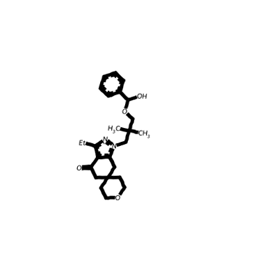 CCc1nn(CC(C)(C)COC(O)c2ccccc2)c2c1C(=O)CC1(CCOCC1)C2